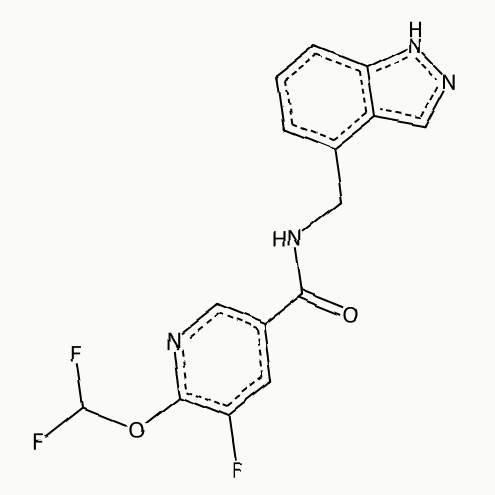 O=C(NCc1cccc2[nH]ncc12)c1cnc(OC(F)F)c(F)c1